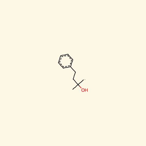 [CH2]C(C)(O)CCc1ccccc1